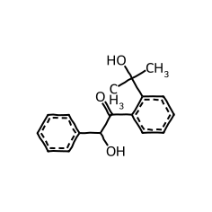 CC(C)(O)c1ccccc1C(=O)C(O)c1ccccc1